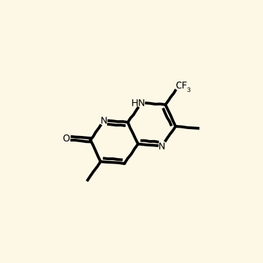 Cc1nc2cc(C)c(=O)nc-2[nH]c1C(F)(F)F